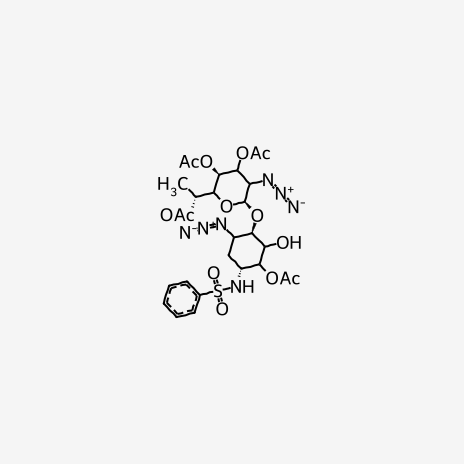 CC(=O)OC1C(N=[N+]=[N-])[C@@H](O[C@@H]2C(N=[N+]=[N-])C[C@@H](NS(=O)(=O)c3ccccc3)C(OC(C)=O)C2O)OC([C@@H](C)OC(C)=O)[C@H]1OC(C)=O